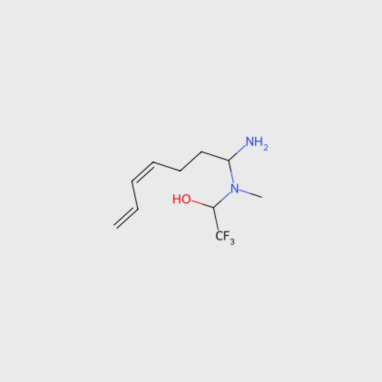 C=C/C=C\CCC(N)N(C)C(O)C(F)(F)F